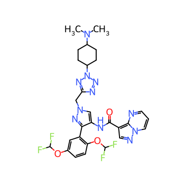 CN(C)C1CCC(n2nnc(Cn3cc(NC(=O)c4cnn5cccnc45)c(-c4cc(OC(F)F)ccc4OC(F)F)n3)n2)CC1